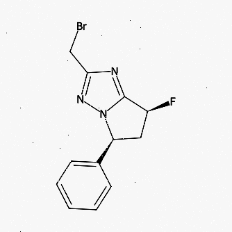 F[C@H]1C[C@@H](c2ccccc2)n2nc(CBr)nc21